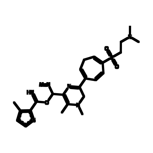 CNC(OC(=N)c1sccc1C)C1=C(C)N(C)CC(C2=CCC=C(S(=O)(=O)CCN(C)C)C=C2)=N1